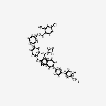 Fc1cc(Cl)ccc1COc1cccc(C2=CCN(Cc3nc4cc(-c5nc(-c6c[nH]c(C(F)(F)F)n6)co5)ccc4n3C[C@@H]3CCO3)CC2)n1